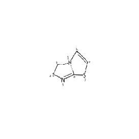 C1=CN2CSN=C2S1